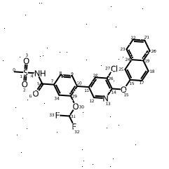 CS(=O)(=O)NC(=O)c1ccc(-c2cnc(Oc3ccc4ccccc4c3)c(Cl)c2)c(OC(F)F)c1